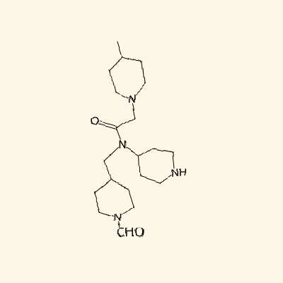 CC1CCN(CC(=O)N(CC2CCN(C=O)CC2)C2CCNCC2)CC1